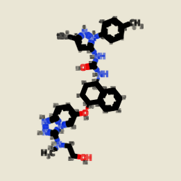 Cc1ccc(-n2nc(C(C)(C)C)cc2NC(=O)N[C@H]2CC[C@@H](Oc3ccc4nnc(N(C)CCO)n4c3)c3ccccc32)cc1